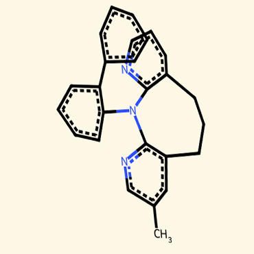 Cc1cnc2c(c1)CCCc1cccnc1N2c1ccccc1-c1ccccc1